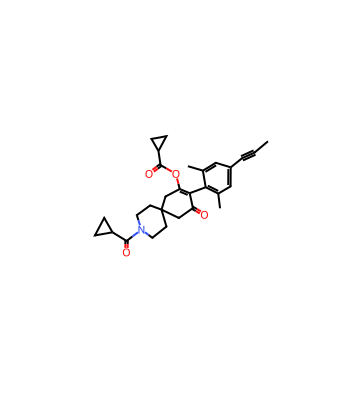 CC#Cc1cc(C)c(C2=C(OC(=O)C3CC3)CC3(CCN(C(=O)C4CC4)CC3)CC2=O)c(C)c1